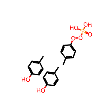 Cc1ccc(O)cc1.Cc1ccc(O)cc1.Cc1ccc(OOP(=O)(O)O)cc1